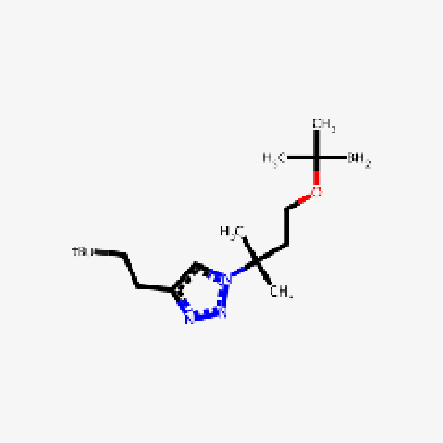 BC(C)(C)OCCC(C)(C)n1cc(CCC(C)(C)C)nn1